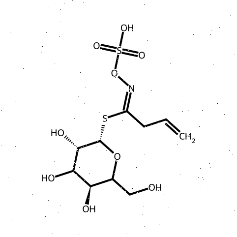 C=CC/C(=N/OS(=O)(=O)O)S[C@@H]1OC(CO)[C@@H](O)C(O)[C@@H]1O